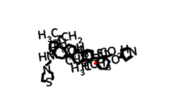 C=C(C)[C@@H]1CC[C@]2(NCCN3CCSCC3)CC[C@]3(C)[C@H](CC[C@@H]4[C@@]5(C)CC=C(C6(CC)C=CCCC6(COc6ccncc6)C(=O)O)C(C)(C)[C@@H]5CC[C@]43C)[C@@H]12